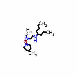 C=CCCC(CCC)NCCN(CC)ON1CCC(C)CC1